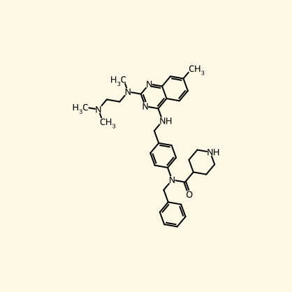 Cc1ccc2c(NCc3ccc(N(Cc4ccccc4)C(=O)C4CCNCC4)cc3)nc(N(C)CCN(C)C)nc2c1